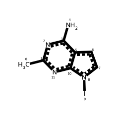 Cc1nc(N)c2ccn(I)c2n1